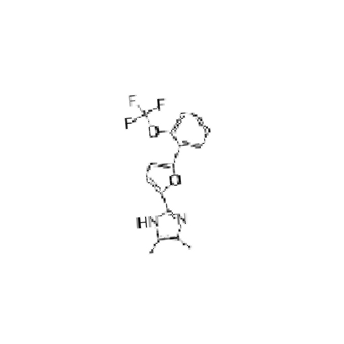 Cc1nc(-c2ccc(-c3ccccc3OC(F)(F)F)o2)[nH]c1C